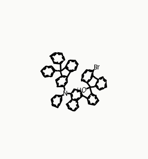 OC1(c2ccccc2-c2ccc(N(c3ccccc3)c3ccc4c(c3)-c3ccccc3C4(c3ccccc3)c3ccccc3)c3ccccc23)c2ccccc2-c2c(Br)cccc21